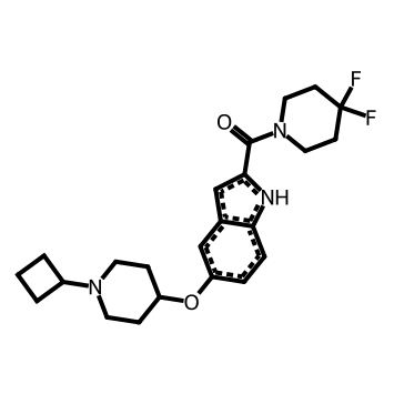 O=C(c1cc2cc(OC3CCN(C4CCC4)CC3)ccc2[nH]1)N1CCC(F)(F)CC1